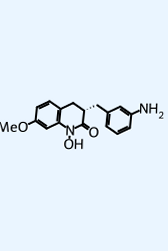 COc1ccc2c(c1)N(O)C(=O)[C@@H](Cc1cccc(N)c1)C2